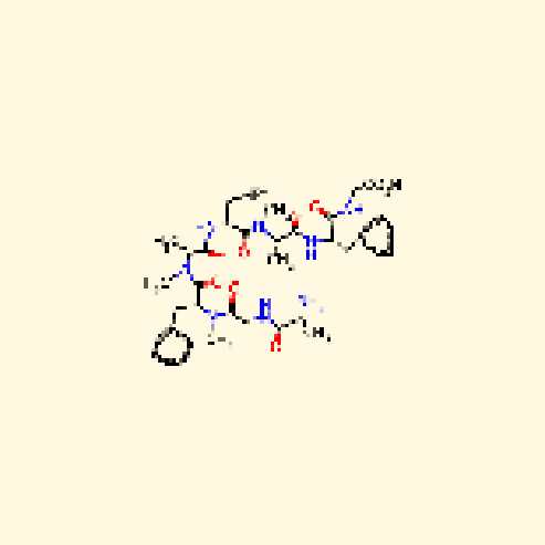 CC(C)C[C@H](NC(=O)[C@H](C)N(C)C(=O)[C@H](Cc1ccccc1)N(C)C(=O)CNC(=O)[C@H](C)N)C(=O)N(C)[C@@H](C)C(=O)N[C@@H](Cc1ccccc1)C(=O)NCC(=O)O